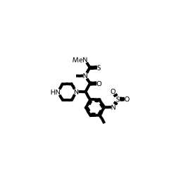 CNC(=S)N(C)C(=O)C(c1ccc(C)c(N=S(=O)=O)c1)N1CCNCC1